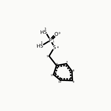 O=P(S)(S)SCc1ccccc1